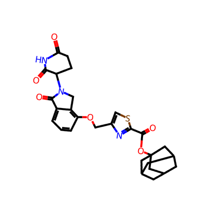 O=C1CCC(N2Cc3c(OCc4csc(C(=O)OC56CC7CC(CC(C7)C5)C6)n4)cccc3C2=O)C(=O)N1